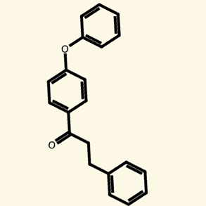 O=C(CCc1ccccc1)c1ccc(Oc2ccccc2)cc1